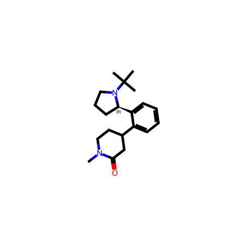 CN1CCC(c2ccccc2[C@H]2CCCN2C(C)(C)C)CC1=O